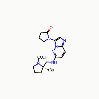 CC(C)(C)[C@]1(CNc2ccc3ncc(N4CCCC4=O)n3n2)CCCN1C(=O)O